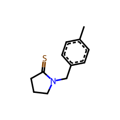 Cc1ccc(CN2CCCC2=S)cc1